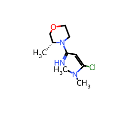 C[C@@H]1COCCN1C(=N)/C=C(/Cl)N(C)C